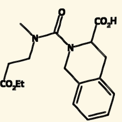 CCOC(=O)CCN(C)C(=O)N1Cc2ccccc2CC1C(=O)O